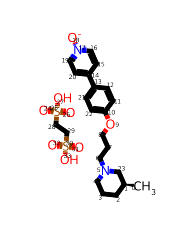 C[C@H]1CCCN(CCCOc2ccc(-c3cc[n+]([O-])cc3)cc2)C1.O=S(=O)(O)CCS(=O)(=O)O